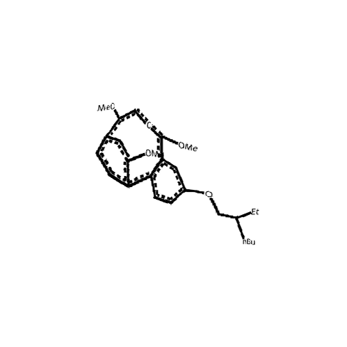 CCCCC(CC)COc1[c]cc2c(c1)c(OC)[c]cc(OC)c1ccc2c(OC)c1